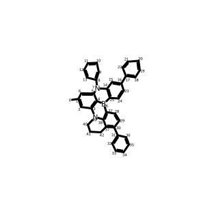 Cc1cc2c3c(c1)N(c1ccccc1)c1cc(-c4ccccc4)ccc1B3c1ccc(-c3ccccc3)c3c1N2CCC3